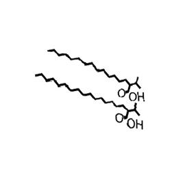 CCCCCCCCCCCCCCC(C(=O)O)C(C)C.CCCCCCCCCCCCCCCCC(C(=O)O)C(C)C